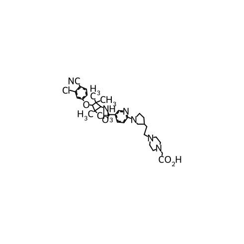 CC1(C)C(NC(=O)c2ccc(N3CCC(CCN4CCN(CC(=O)O)CC4)C3)nc2)C(C)(C)C1Oc1ccc(C#N)c(Cl)c1